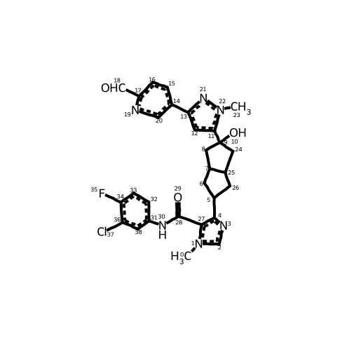 Cn1cnc(C2CC3CC(O)(c4cc(-c5ccc(C=O)nc5)nn4C)CC3C2)c1C(=O)Nc1ccc(F)c(Cl)c1